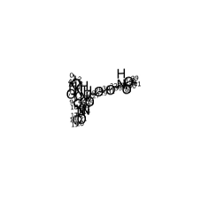 Cc1ccc(NC(=O)c2ccc3c(cnn3C3CCCCO3)c2NC(=O)CCOCCOCCNC(=O)OC(C)(C)C)nc1